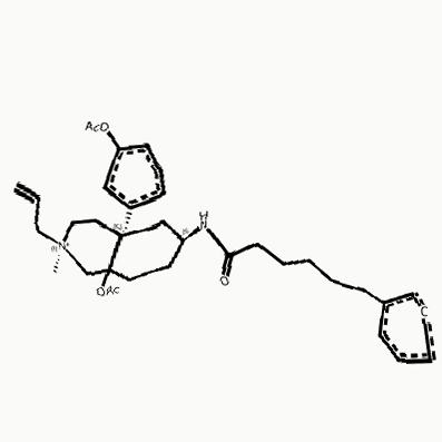 C=CC[N@@+]1(C)CC[C@@]2(c3cccc(OC(C)=O)c3)C[C@@H](NC(=O)CCCCCc3ccccc3)CCC2(OC(C)=O)C1